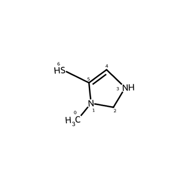 CN1CNC=C1S